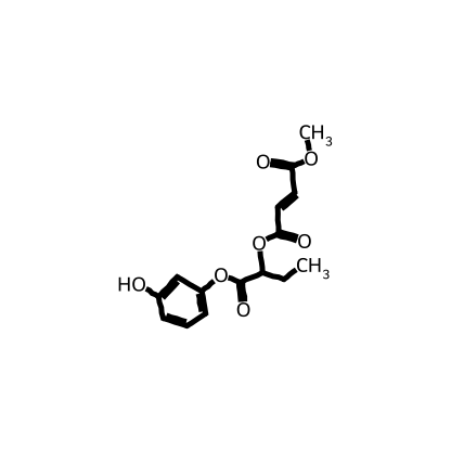 CCC(OC(=O)C=CC(=O)OC)C(=O)Oc1cccc(O)c1